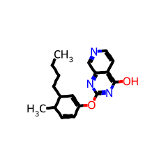 CCCCC1C=C(Oc2nc(O)c3ccncc3n2)C=CC1C